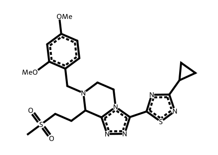 COc1ccc(CN2CCn3c(-c4nc(C5CC5)ns4)nnc3C2CCS(C)(=O)=O)c(OC)c1